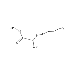 CCCOC(=O)C(CCC)SCCCC(F)(F)F